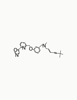 CN(CC=CC#CC(C)(C)C)Cc1cccc(OCc2cccc(-c3cnco3)n2)c1